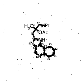 CC(=O)OC(C)(Cc1nc2cnc3ccccc3c2[nH]1)CC(C)C